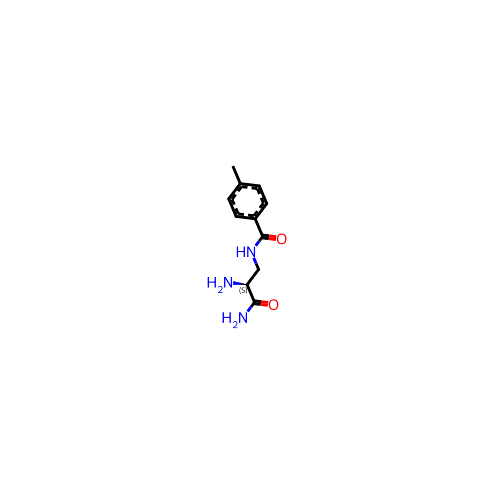 Cc1ccc(C(=O)NC[C@H](N)C(N)=O)cc1